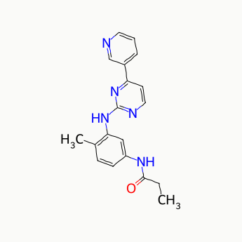 CCC(=O)Nc1ccc(C)c(Nc2nccc(-c3cccnc3)n2)c1